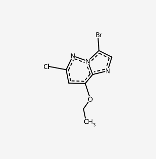 CCOc1cc(Cl)nn2c(Br)cnc12